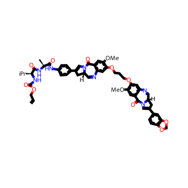 C=CCOC(=O)N[C@H](C(=O)N[C@@H](C)C(=O)Nc1ccc(C2=CN3C(=O)c4cc(OC)c(OCCCOc5cc6c(cc5OC)C(=O)N5C=C(c7ccc8c(c7)OCO8)C[C@H]5C=N6)cc4N=C[C@@H]3C2)cc1)C(C)C